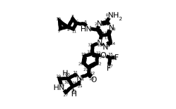 Nc1nc(NCC2CC3(CC3)C2)c2c(cnn2Cc2ccc(C(=O)N3C[C@H]4CNC[C@H]4C3)cc2OC(F)F)n1